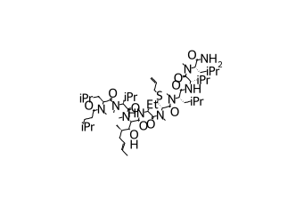 C=CCSC[C@H](C(=O)N(C)[C@@H](CC(C)C)C(=O)N[C@H](C(=O)N(C)[C@@H](CC(C)C)C(N)=O)C(C)C)N(C)C(=O)[C@H](CC)NC(=O)[C@H]([C@H](O)[C@H](C)C/C=C/C)N(C)C(=O)[C@H](C(C)C)N(C)C(=O)[C@H](CC(C)C)N(C)C(=O)CCC(C)C